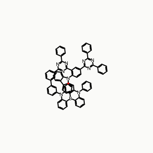 c1ccc(-c2nc(-c3ccccc3)nc(-c3ccc(-n4c5ccccc5c5ccccc54)c(-c4nc(-c5ccccc5)nc(-c5cccc(-c6cccc(N7c8ccccc8B8c9ccccc9N(c9ccccc9)c9cccc7c98)c6)c5)n4)c3)n2)cc1